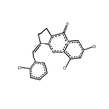 O=c1c2c(nc3c(Cl)cc(Cl)cn13)/C(=C\c1ccccc1Cl)CC2